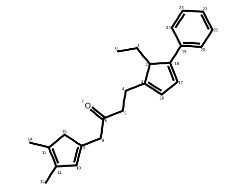 CCC1C(CCC(=O)CC2=CC(C)=C(C)C2)=CC=C1c1ccccc1